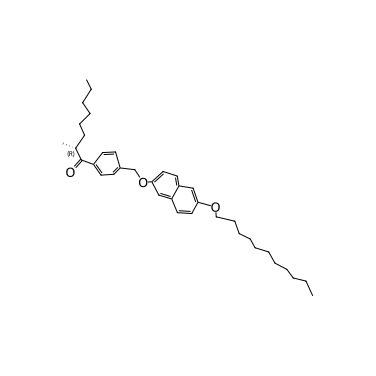 CCCCCCCCCCCOc1ccc2cc(OCc3ccc(C(=O)[C@H](C)CCCCCC)cc3)ccc2c1